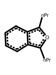 CCCc1oc(CCC)c2ccccc12